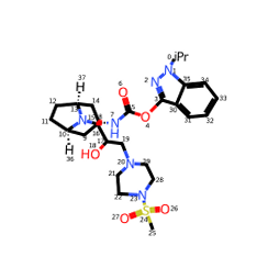 CC(C)n1nc(OC(=O)N[C@@H]2C[C@H]3CC[C@@H](C2)N3CC(O)CN2CCN(S(C)(=O)=O)CC2)c2ccccc21